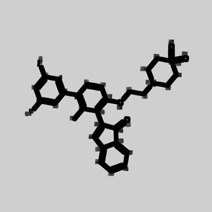 Cc1c(-c2cc(F)cc(F)c2)ccc(OCCN2CCS(=O)(=O)CC2)c1C1=Cc2ccccc2C1=O